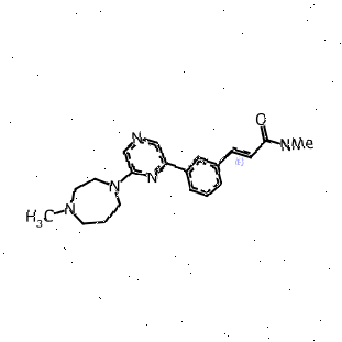 CNC(=O)/C=C/c1cccc(-c2cncc(N3CCCN(C)CC3)n2)c1